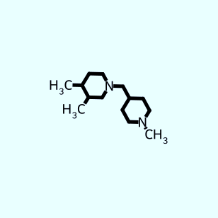 CC1CCN(CC2CCN(C)CC2)CC1C